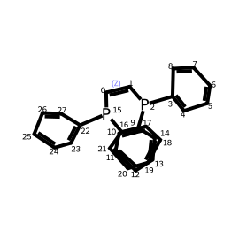 C(=C/P(c1ccccc1)c1ccccc1)/P(c1ccccc1)c1ccccc1